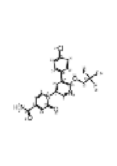 NC(=O)c1ccn(-c2cnc(OCC(F)(F)F)c(-c3ccc(Cl)cc3)c2)c(=O)c1